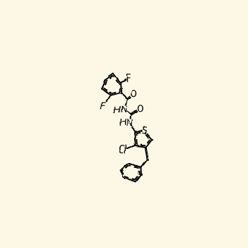 O=C(NC(=O)c1c(F)cccc1F)Nc1scc(Cc2ccccc2)c1Cl